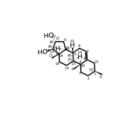 C[C@H]1CC[C@@]2(C)C(=CC[C@H]3[C@@H]4C[C@@H](O)[C@H](O)[C@@]4(C)CC[C@@H]32)C1